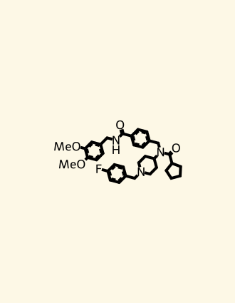 COc1ccc(CNC(=O)c2ccc(CN(C(=O)C3CCCC3)C3CCN(Cc4ccc(F)cc4)CC3)cc2)cc1OC